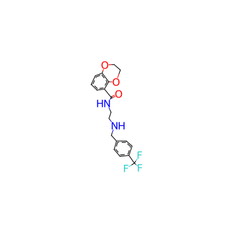 O=C(NCCNCc1ccc(C(F)(F)F)cc1)c1cccc2c1OCCO2